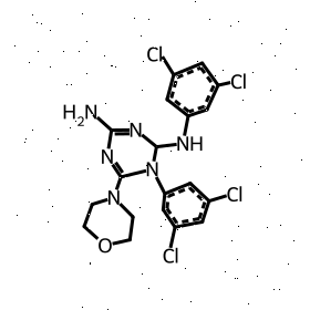 NC1=NC(Nc2cc(Cl)cc(Cl)c2)N(c2cc(Cl)cc(Cl)c2)C(N2CCOCC2)=N1